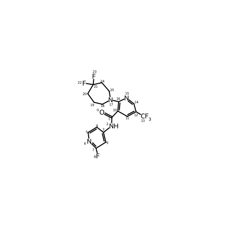 O=C(Nc1ccnc(F)c1)c1cc(C(F)(F)F)cnc1N1CCCC(F)(F)CC1